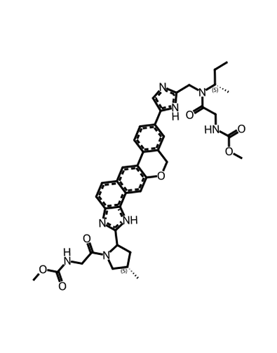 CC[C@H](C)N(Cc1ncc(-c2ccc3c(c2)COc2cc4c(ccc5nc(C6C[C@H](C)CN6C(=O)CNC(=O)OC)[nH]c54)cc2-3)[nH]1)C(=O)CNC(=O)OC